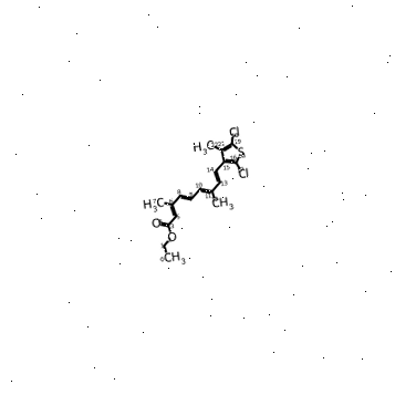 CCOC(=O)C=C(C)C=CC=C(C)C=Cc1c(Cl)sc(Cl)c1C